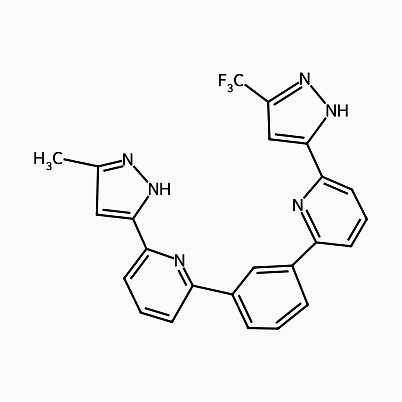 Cc1cc(-c2cccc(-c3cccc(-c4cccc(-c5cc(C(F)(F)F)n[nH]5)n4)c3)n2)[nH]n1